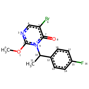 COc1ncc(Br)c(=O)n1C(C)c1ccc(F)cc1